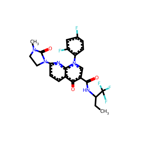 CCC(NC(=O)c1cn(-c2ccc(F)cc2F)c2nc(N3CCN(C)C3=O)ccc2c1=O)C(F)(F)F